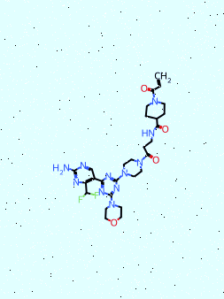 C=CC(=O)N1CCC(C(=O)NCCC(=O)N2CCN(c3nc(-c4cnc(N)nc4C(F)F)nc(N4CCOCC4)n3)CC2)CC1